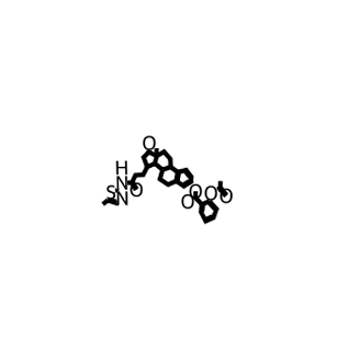 CC(=O)Oc1ccccc1C(=O)Oc1ccc2c(c1)CCC1C2CCC2(C)C(=O)CC(CCC(=O)Nc3ncc(C)s3)C12